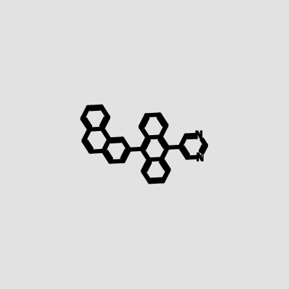 c1ccc2c(c1)ccc1ccc(-c3c4ccccc4c(-c4cncnc4)c4ccccc34)cc12